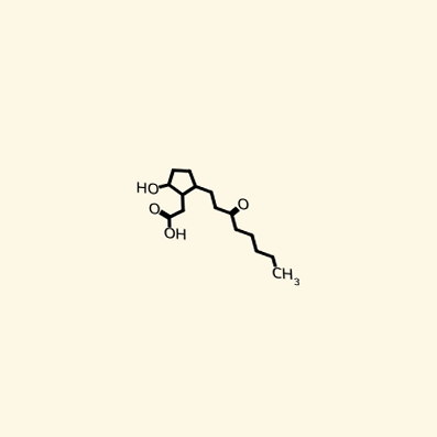 CCCCCC(=O)CCC1CCC(O)C1CC(=O)O